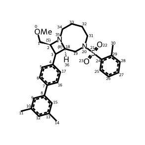 COC[C@@H]1C(c2ccc(-c3cc(C)cc(C)c3)cc2)[C@@H]2CN(S(=O)(=O)c3ccccc3C)CCCCN12